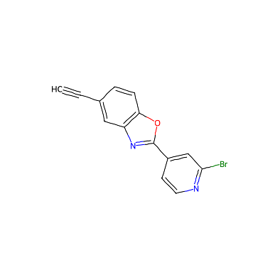 C#Cc1ccc2oc(-c3ccnc(Br)c3)nc2c1